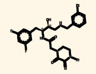 CCc1cccc(CNC[C@@H](O)[C@H](Cc2cc(F)cc(F)c2)NC(=O)CN2CCN(CC)C(=O)C2=O)c1